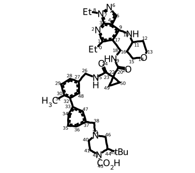 CCc1nc2c(cnn2CC)c(NC2CCOCC2)c1CNC(=O)C1(C(=O)NCc2ccc(C)c(-c3cccc(CN4CCN(C(=O)O)C(C(C)(C)C)C4)c3)c2)CC1